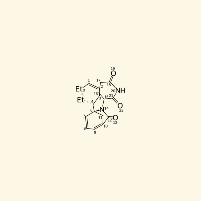 CC/C=C\C[C@@H](CC)[C@@]12C=CC=C(C1)C(=O)N2C1CCC(=O)NC1=O